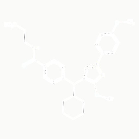 CCCOc1nn(-c2ccc(OC(F)(F)F)cc2)cc1C(c1ccc(C(=O)NCCC(=O)O)cc1)C1CCCCC1